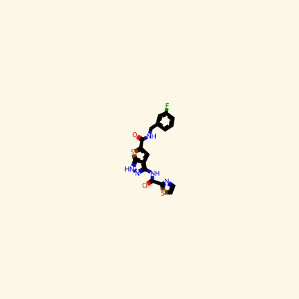 O=C(NCc1cccc(F)c1)c1cc2c(NC(=O)c3nccs3)n[nH]c2s1